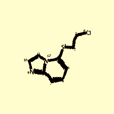 ClCCSc1cccc2nccn12